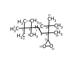 CC(C)(C)C(C)(C)CCC(C)(C1OO1)C(C)(C)C